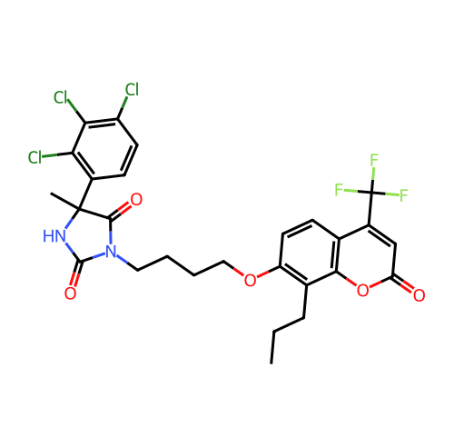 CCCc1c(OCCCCN2C(=O)NC(C)(c3ccc(Cl)c(Cl)c3Cl)C2=O)ccc2c(C(F)(F)F)cc(=O)oc12